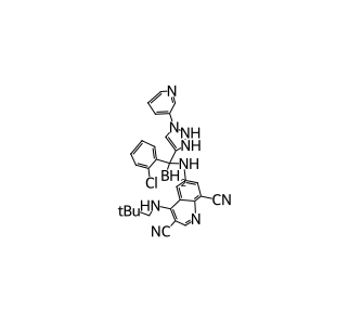 BC(Nc1cc(C#N)c2ncc(C#N)c(NCC(C)(C)C)c2c1)(C1=CN(c2cccnc2)NN1)c1ccccc1Cl